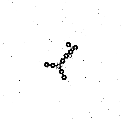 c1ccc(-c2ccc(-c3nc(-c4ccc(-c5ccccc5)cc4)nc(-c4ccc(-c5ccc6c(c5)oc5cc7c8ccccc8n(-c8ccccc8)c7cc56)cc4)n3)cc2)cc1